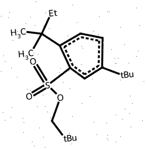 CCC(C)(C)c1ccc(C(C)(C)C)cc1S(=O)(=O)OCC(C)(C)C